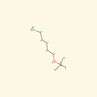 C[Si](C)(C)OCCCCCCl